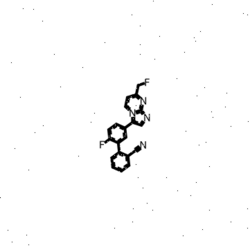 N#Cc1ccccc1-c1cc(-c2cnc3nc(CF)ccn23)ccc1F